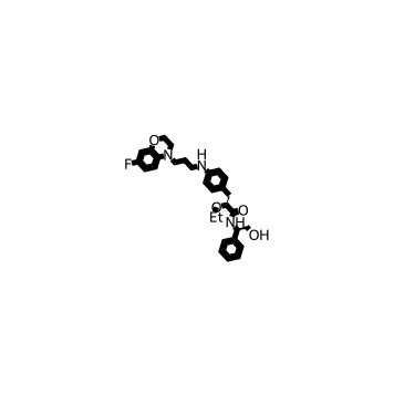 CCO[C@H](Cc1ccc(NCCCN2CCOc3cc(F)ccc32)cc1)C(=O)N[C@@H](CO)c1ccccc1